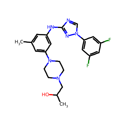 Cc1cc(Nc2ncn(-c3cc(F)cc(F)c3)n2)cc(N2CCN(CC(C)O)CC2)c1